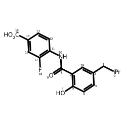 CC(C)Cc1ccc(O)c(C(=O)Nc2ccc(C(=O)O)cc2F)c1